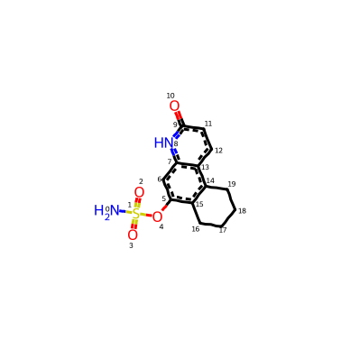 NS(=O)(=O)Oc1cc2[nH]c(=O)ccc2c2c1CCCC2